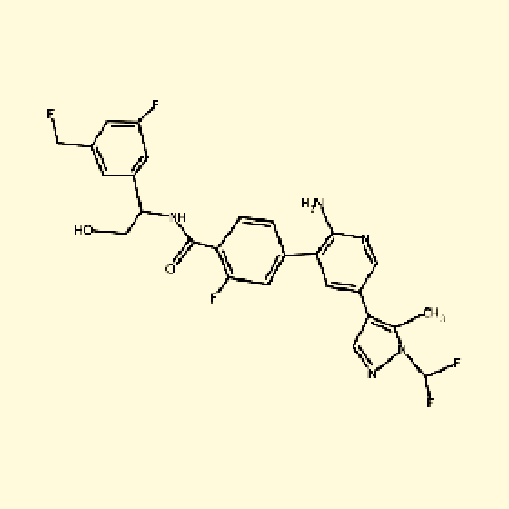 Cc1c(-c2cnc(N)c(-c3ccc(C(=O)NC(CO)c4cc(F)cc(CF)c4)c(F)c3)c2)cnn1C(F)F